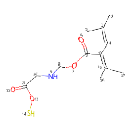 CC(C)=CC(C(=O)OCNCC(=O)OS)=C(C)C